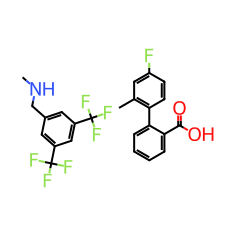 CNCc1cc(C(F)(F)F)cc(C(F)(F)F)c1.Cc1cc(F)ccc1-c1ccccc1C(=O)O